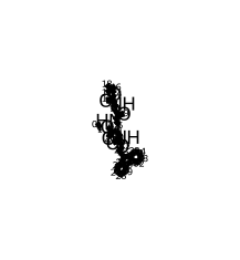 CCOC(=O)[C@H](CNC(=O)CNC(=O)OC(C)(C)C)NC(=O)OCC1c2ccccc2-c2ccccc21